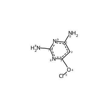 Nc1cc(OCl)nc(N)n1